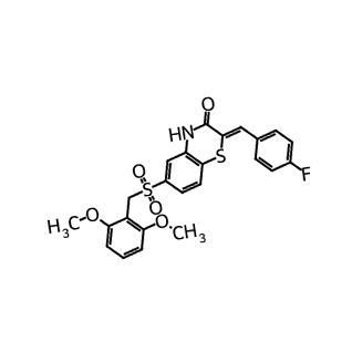 COc1cccc(OC)c1CS(=O)(=O)c1ccc2c(c1)NC(=O)C(=Cc1ccc(F)cc1)S2